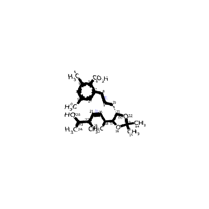 Cc1cc(C)c(C(=O)O)c(/C=C/C[C@@H]2OC(C)(C)OC2C(C)/C=C\C(C(C)O)C(F)(F)F)c1